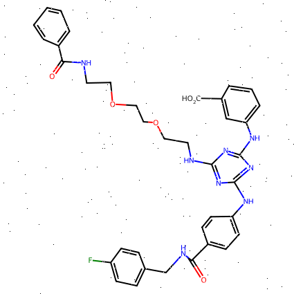 O=C(O)c1cccc(Nc2nc(NCCOCCOCCNC(=O)c3ccccc3)nc(Nc3ccc(C(=O)NCc4ccc(F)cc4)cc3)n2)c1